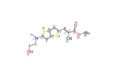 CN(CCO)c1cc2sc(/C=C(\C#N)C(=O)OC(C)(C)C)cc2s1